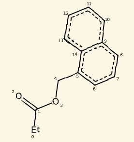 CCC(=O)OCc1cccc2ccccc12